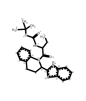 CCC(NC(=O)OC(C)(C)C)C(=O)N1c2ccccc2CCC1c1nc2ccccc2[nH]1